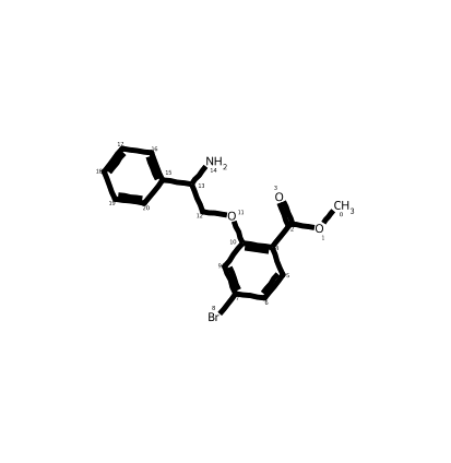 COC(=O)c1ccc(Br)cc1OCC(N)c1ccccc1